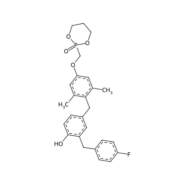 Cc1cc(OCP2(=O)OCCCO2)cc(C)c1Cc1ccc(O)c(Cc2ccc(F)cc2)c1